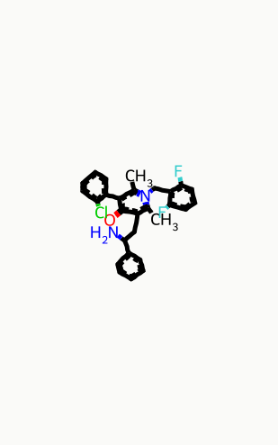 Cc1c(CC(N)c2ccccc2)c(=O)c(-c2ccccc2Cl)c(C)n1Cc1c(F)cccc1F